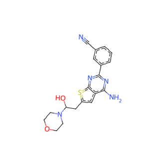 N#Cc1cccc(-c2nc(N)c3cc(CC(O)N4CCOCC4)sc3n2)c1